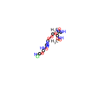 CCS(=O)(=O)Nc1ccc(Oc2cccc(OCCOC3CCN(c4ccc(C(=O)NC5CCC(Oc6ccc(C#N)c(Cl)c6)CC5)nn4)CC3)c2)c(-c2cn(C)c(=O)c3[nH]ccc23)c1